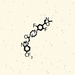 Cc1ncc(-c2cc(F)c(N3CCN(C(=O)Cn4cnc5cc(C(F)(F)F)ccc54)CC3)cc2F)o1